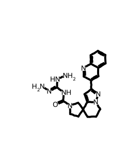 N/N=C(\NN)NC(=O)N1CCC2(CCCn3nc(-c4cnc5ccccc5c4)cc32)C1